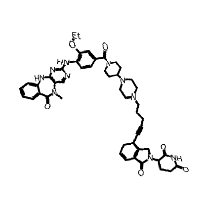 CCOc1cc(C(=O)N2CCC(N3CCN(CCCC#CC4CC=CC5=C4CN(C4CCC(=O)NC4=O)C5=O)CC3)CC2)ccc1Nc1ncc2c(n1)Nc1ccccc1C(=O)N2C